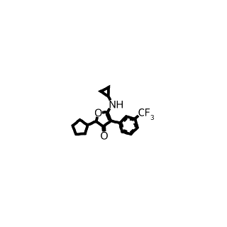 O=C1C(c2cccc(C(F)(F)F)c2)=C(NC2CC2)OC1C1CCCC1